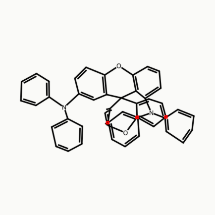 c1ccc(N(c2ccccc2)c2ccc3c(c2)C2(c4ccccc4Oc4ccccc42)c2c(cccc2N(c2ccccc2)c2ccccc2)O3)cc1